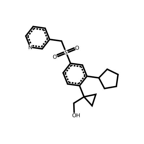 O=S(=O)(Cc1cccnc1)c1ccc(C2(CO)CC2)c(C2CCCC2)c1